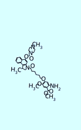 COC(=O)c1cc(OC)c(OCCCCCC(=O)N2CC(C)c3c2cc(OC(=O)N2CCN(C)CC2)c2ccccc32)cc1N